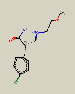 COCCNC[C@@H](C(N)=O)c1ccc(Cl)cc1